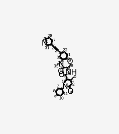 Cc1cc(=O)n(-c2ccccc2)cc1C(=O)N[C@H]1COc2ccc(C#Cc3cccnc3)cc2N(C)C1=O